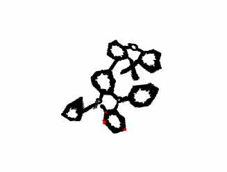 CC1(C)c2ccccc2Oc2cccc(-c3ccc(P(c4ccccc4)c4ccccc4)c(P(c4ccccc4)c4ccccc4)c3)c21